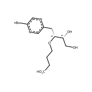 CCCCc1cnc(C[C@@H](OCCCC(=O)O)[C@H](O)CO)cn1